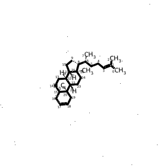 CC(C)=CCC[C@@H](C)[C@H]1CC[C@H]2[C@@H]3CCC4CC=CC[C@]4(C)[C@H]3CC[C@]12C